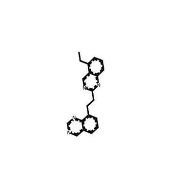 CCc1cccc2nc(CCc3cccc4cncnc34)ncc12